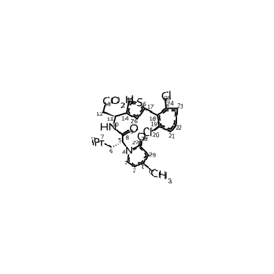 Cc1ccn([C@H](CC(C)C)C(=O)N[C@@H](CC(=O)O)c2csc(-c3c(Cl)cccc3Cl)c2)c(=O)c1